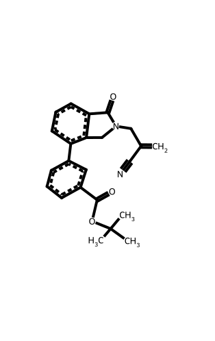 C=C(C#N)CN1Cc2c(cccc2-c2cccc(C(=O)OC(C)(C)C)c2)C1=O